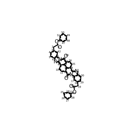 O=C(Cc1ccc2nc3c4ccc5c(=O)n6c7cc(CC(=O)Oc8ccccc8)ccc7nc6c6ccc(c(=O)n3c2c1)c4c56)Oc1ccccc1